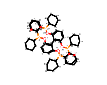 c1cc(OP(C2CCCCC2)C2CCCCC2)c(-c2c(OP(C3CCCCC3)C3CCCCC3)cccc2OP(C2CCCCC2)C2CCCCC2)c(OP(C2CCCCC2)C2CCCCC2)c1